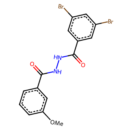 COc1cccc(C(=O)NNC(=O)c2cc(Br)cc(Br)c2)c1